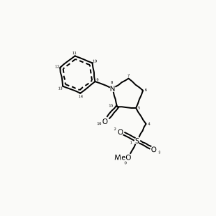 COS(=O)(=O)CC1CCN(c2ccccc2)C1=O